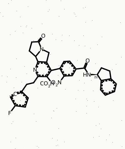 O=C(N[C@H]1CCc2ccccc21)c1ccc(-c2c3c(nc(CCc4ccc(F)cc4)c2C(=O)O)C2CCC(=O)N2C3)c([N+](=O)[O-])c1